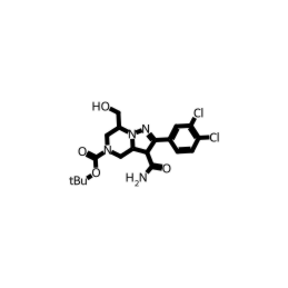 CC(C)(C)OC(=O)N1CC(CO)N2N=C(c3ccc(Cl)c(Cl)c3)C(C(N)=O)C2C1